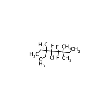 CCC(C)(C)C(F)(F)C(F)(Cl)C(C)(CC)CC